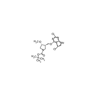 CO[C@H]1CN(C(=O)OC(C)(C)C)C[C@@H]1COc1nc(Cl)nc2[nH]cc(Cl)c12